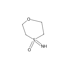 N=S1(=O)CCOCC1